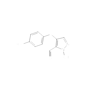 Cc1ccc(Sc2cnn(C)c2C=O)cc1